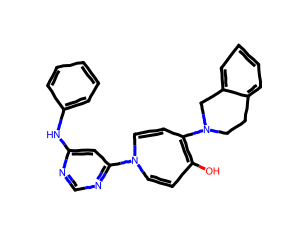 OC1=C(N2CCc3ccccc3C2)C=CN(c2cc(Nc3ccccc3)ncn2)C=C1